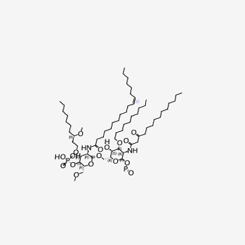 CCCCCC/C=C\CCCCCCCCCC(=O)N[C@H]1[C@H](OC[C@H]2O[C@H](OP=O)[C@H](NC(=O)CC(=O)CCCCCCCCCCC)[C@@H](OCCCCCCCCCC)[C@@H]2O)O[C@H](COC)[C@@H](OP(=O)(O)O)[C@@H]1OCC[C@@H](CCCCCCC)OC